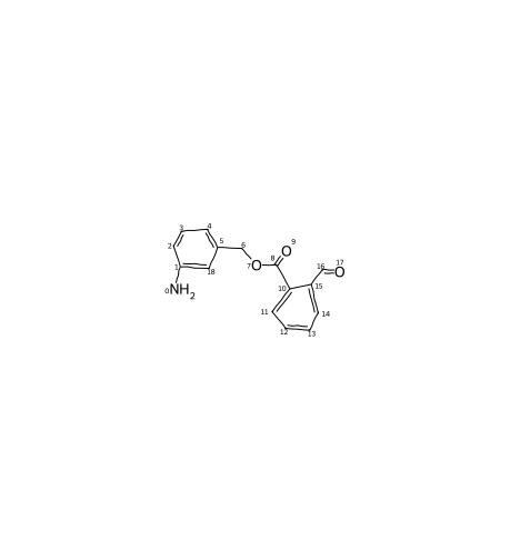 Nc1cccc(COC(=O)c2ccccc2C=O)c1